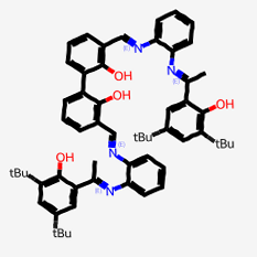 C/C(=N\c1ccccc1/N=C/c1cccc(-c2cccc(/C=N/c3ccccc3/N=C(\C)c3cc(C(C)(C)C)cc(C(C)(C)C)c3O)c2O)c1O)c1cc(C(C)(C)C)cc(C(C)(C)C)c1O